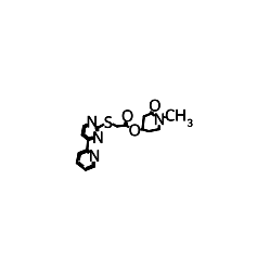 CN1CCC(OC(=O)CSc2nccc(-c3ccccn3)n2)CC1=O